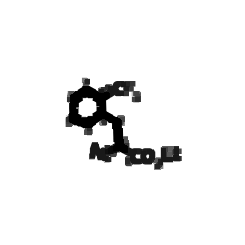 CCOC(=O)C(=Cc1ccccc1C(F)(F)F)C(C)=O